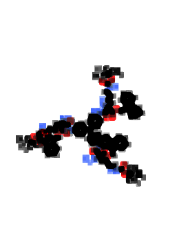 CC(C)(C)OC(=O)NCCCC[C@@](N)(C(=O)Nc1ccc(C(c2ccc(NC(=O)[C@](N)(CCCCNC(=O)OC(C)(C)C)C(=O)OCC3c4ccccc4-c4ccccc43)cc2)c2ccc(NC(=O)[C@](N)(CCCCNC(=O)OC(C)(C)C)C(=O)OCC3c4ccccc4-c4ccccc43)cc2)cc1)C(=O)OCC1c2ccccc2-c2ccccc21